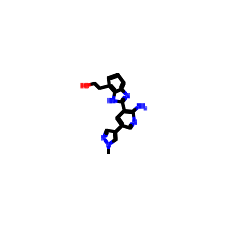 Cn1cc(-c2cnc(N)c(-c3nc4cccc(CCO)c4[nH]3)c2)cn1